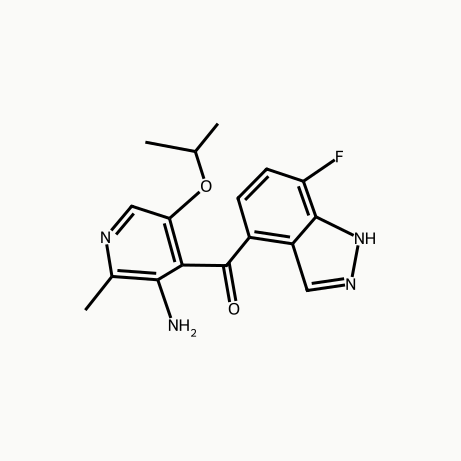 Cc1ncc(OC(C)C)c(C(=O)c2ccc(F)c3[nH]ncc23)c1N